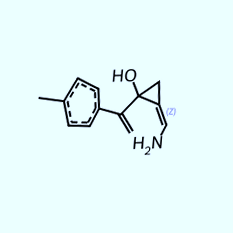 C=C(c1ccc(C)cc1)C1(O)C/C1=C/N